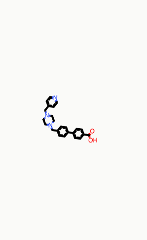 O=C(O)c1ccc(-c2ccc(CN3CCN(Cc4ccncc4)CC3)cc2)cc1